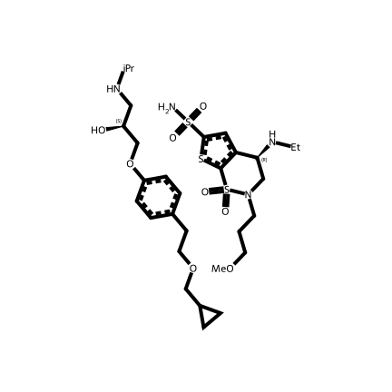 CC(C)NC[C@H](O)COc1ccc(CCOCC2CC2)cc1.CCN[C@H]1CN(CCCOC)S(=O)(=O)c2sc(S(N)(=O)=O)cc21